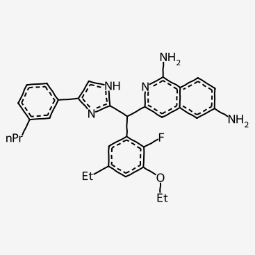 CCCc1cccc(-c2c[nH]c(C(c3cc4cc(N)ccc4c(N)n3)c3cc(CC)cc(OCC)c3F)n2)c1